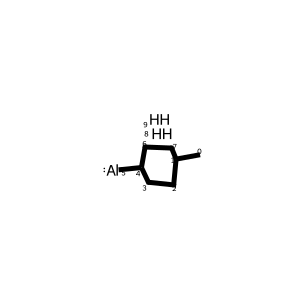 CC1CC[CH]([Al])CC1.[HH].[HH]